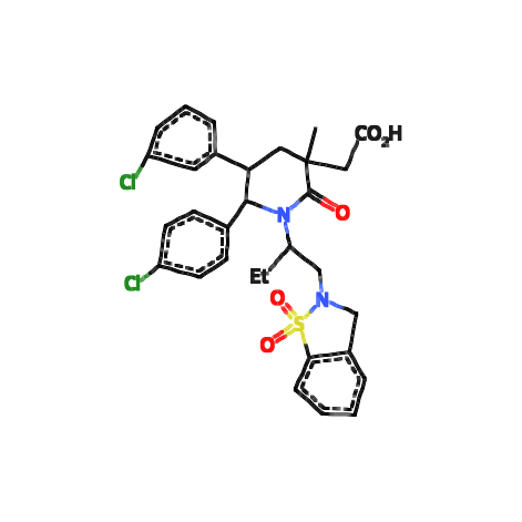 CCC(CN1Cc2ccccc2S1(=O)=O)N1C(=O)C(C)(CC(=O)O)CC(c2cccc(Cl)c2)C1c1ccc(Cl)cc1